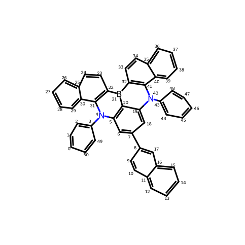 c1ccc(N2c3cc(-c4ccc5ccccc5c4)cc4c3B(c3ccc5ccccc5c32)c2ccc3ccccc3c2N4c2ccccc2)cc1